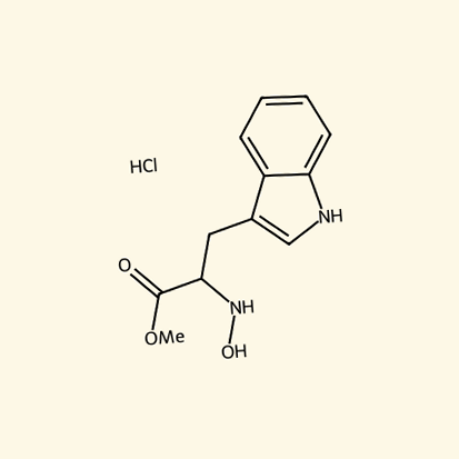 COC(=O)C(Cc1c[nH]c2ccccc12)NO.Cl